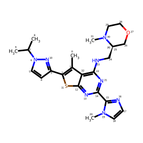 Cc1c(-c2ccn(C(C)C)n2)sc2nc(-c3nccn3C)nc(NC[C@@H]3COCCN3C)c12